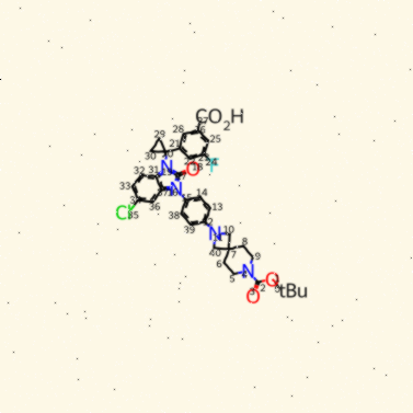 CC(C)(C)OC(=O)N1CCC2(CC1)CN(c1ccc(-n3c(=O)n(C4(c5cc(F)cc(C(=O)O)c5)CC4)c4ccc(Cl)cc43)cc1)C2